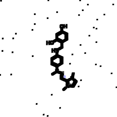 CN(/N=C/c1n(C)cc[n+]1C)c1ccc(NCc2ccc(O)cc2O)cc1